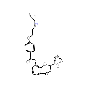 CC/C=C\CCOc1ccc(C(=O)Nc2cccc3c2OC(c2nnn[nH]2)CO3)cc1